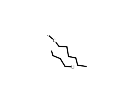 [CH2]CCCCCCC.[Li][CH2]CCC